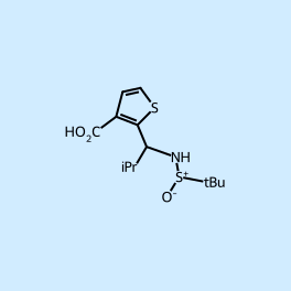 CC(C)C(N[S+]([O-])C(C)(C)C)c1sccc1C(=O)O